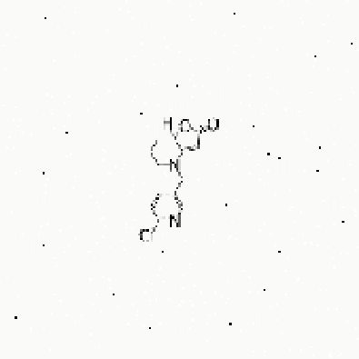 O=C1C=C2[C@@H](CCCN2Cc2ccc(Cl)nc2)O1